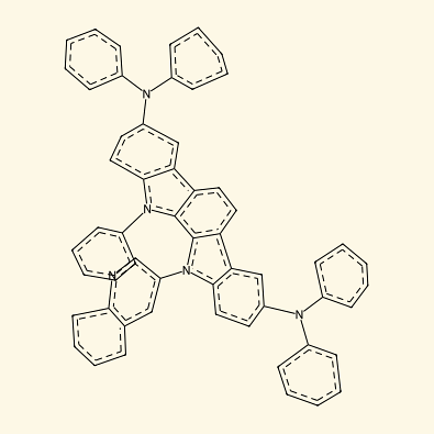 c1ccc(N(c2ccccc2)c2ccc3c(c2)c2ccc4c5cc(N(c6ccccc6)c6ccccc6)ccc5n(-c5cnc6ccccc6c5)c4c2n3-c2ccccc2)cc1